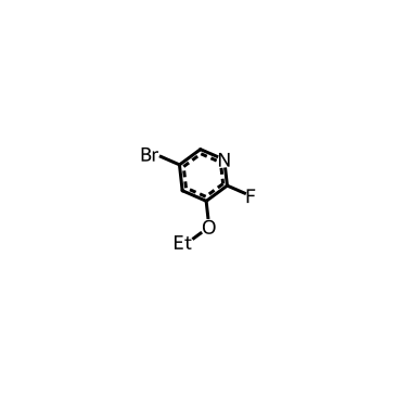 CCOc1cc(Br)cnc1F